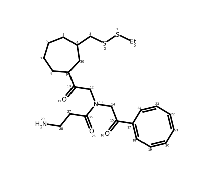 CCSSCC1CCCCC(C(=O)CN(CC(=O)C2=C/C=C\C=C/C=C\2)C(=O)CCN)C1